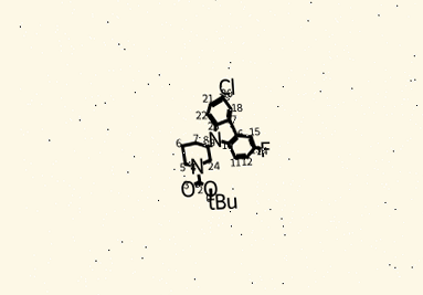 CC(C)(C)OC(=O)N1CCCC(n2c3ccc(F)cc3c3cc(Cl)ccc32)C1